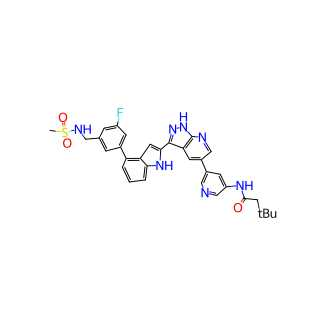 CC(C)(C)CC(=O)Nc1cncc(-c2cnc3[nH]nc(-c4cc5c(-c6cc(F)cc(CNS(C)(=O)=O)c6)cccc5[nH]4)c3c2)c1